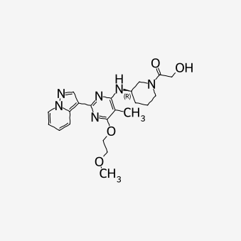 COCCOc1nc(-c2cnn3ccccc23)nc(N[C@@H]2CCCN(C(=O)CO)C2)c1C